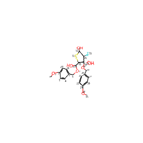 COc1ccc(COC(O)[C@H]2SC(O)[C@@H](F)[C@@]2(O)OCc2ccc(OC)cc2)cc1